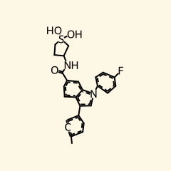 Cc1ccc(-c2cn(-c3ccc(F)cc3)c3cc(C(=O)NC4CCS(O)(O)C4)ccc23)cc1